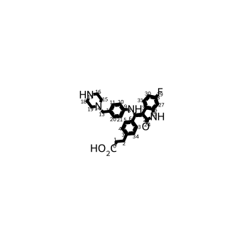 O=C(O)CCc1ccc(C(Nc2ccc(CN3CCNCC3)cc2)=C2C(=O)Nc3cc(F)ccc32)cc1